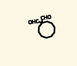 O=CC1(C=O)CCCCCCCCC1